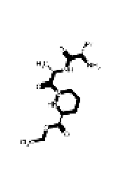 CC(C)[C@H](N)C(=O)N[C@@H](C)C(=O)N1CCC[C@@H](C(=O)OCC(Cl)(Cl)Cl)N1